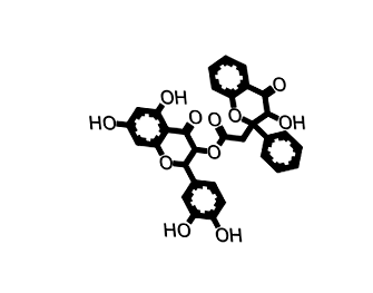 O=C(CC1(c2ccccc2)Oc2ccccc2C(=O)C1O)OC1C(=O)c2c(O)cc(O)cc2OC1c1ccc(O)c(O)c1